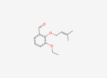 CCOc1cccc(C=O)c1OCC=C(C)C